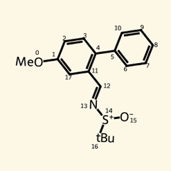 COc1ccc(-c2ccccc2)c(C=N[S+]([O-])C(C)(C)C)c1